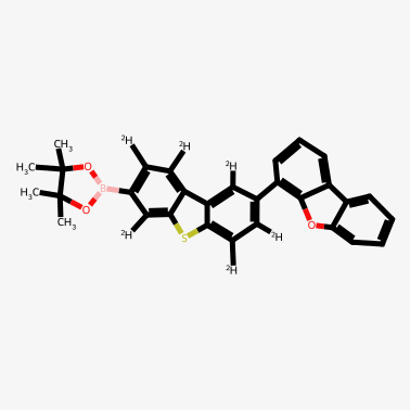 [2H]c1c(-c2cccc3c2oc2ccccc23)c([2H])c2c(sc3c([2H])c(B4OC(C)(C)C(C)(C)O4)c([2H])c([2H])c32)c1[2H]